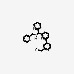 ClCc1cc(-c2cccc(C(NCc3ccccn3)c3ccccn3)n2)ccn1